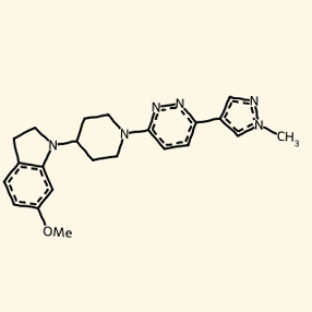 COc1ccc2c(c1)N(C1CCN(c3ccc(-c4cnn(C)c4)nn3)CC1)CC2